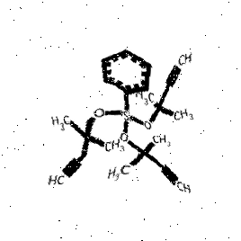 C#CC(C)(C)O[Si](OC(C)(C)C#C)(OC(C)(C)C#C)c1ccccc1